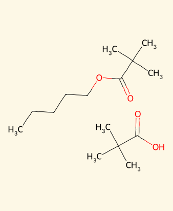 CC(C)(C)C(=O)O.CCCCCOC(=O)C(C)(C)C